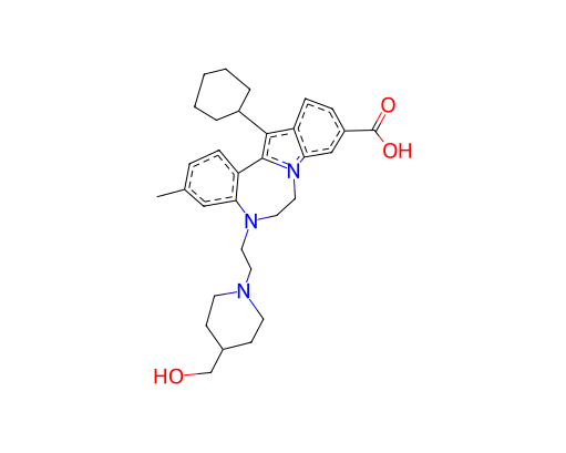 Cc1ccc2c(c1)N(CCN1CCC(CO)CC1)CCn1c-2c(C2CCCCC2)c2ccc(C(=O)O)cc21